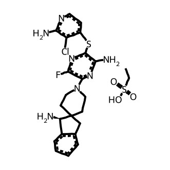 CCS(=O)(=O)O.Nc1nc(N2CCC3(CC2)Cc2ccccc2[C@H]3N)c(F)nc1Sc1ccnc(N)c1Cl